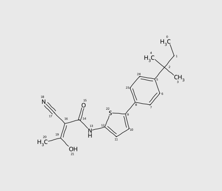 CCC(C)(C)c1ccc(-c2ccc(NC(=O)C(C#N)=C(C)O)s2)cc1